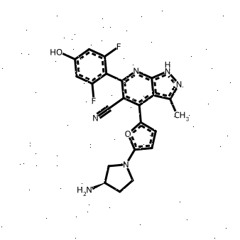 Cc1n[nH]c2nc(-c3c(F)cc(O)cc3F)c(C#N)c(-c3ccc(N4CC[C@@H](N)C4)o3)c12